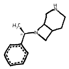 C[C@H](c1ccccc1)N1CC2CCNCC21